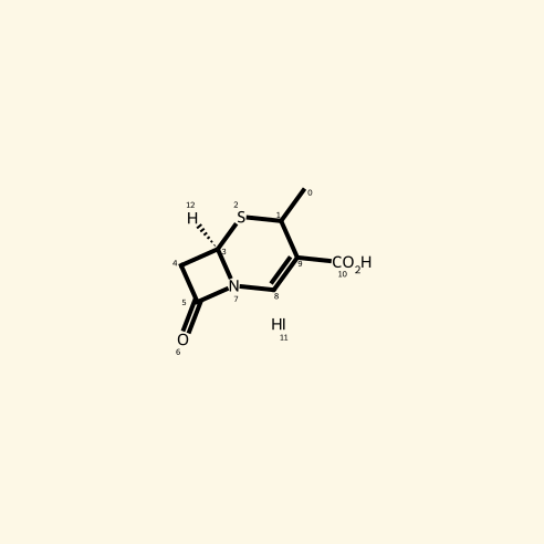 CC1S[C@@H]2CC(=O)N2C=C1C(=O)O.I